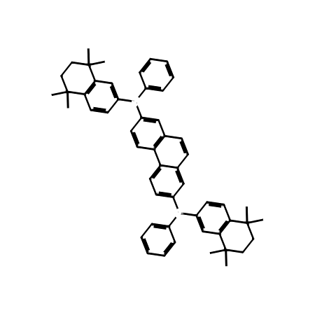 CC1(C)CCC(C)(C)c2cc(N(c3ccccc3)c3ccc4c(ccc5cc(N(c6ccccc6)c6ccc7c(c6)C(C)(C)CCC7(C)C)ccc54)c3)ccc21